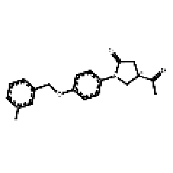 CC(=O)[C@@H]1CC(=O)N(c2ccc(OCc3cccc(F)c3)cc2)C1